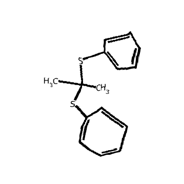 CC(C)(Sc1ccccc1)Sc1ccccc1